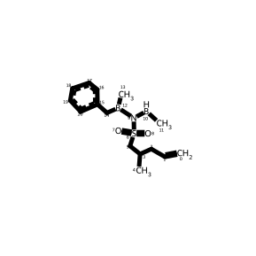 C=CCC(C)CS(=O)(=O)N(BC)B(C)Cc1ccccc1